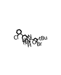 CC(C)(C)c1cc(-c2nc3cc(-c4ccccc4Cl)cnc3[nH]2)oc1Br.[Na]